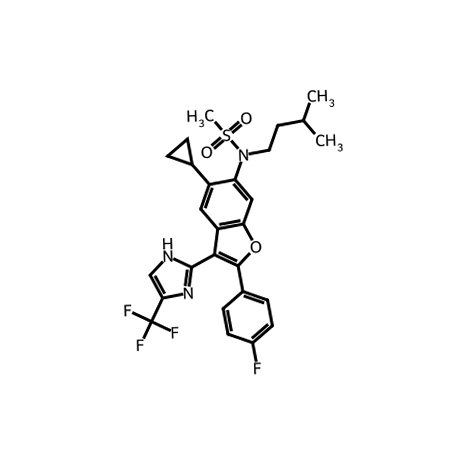 CC(C)CCN(c1cc2oc(-c3ccc(F)cc3)c(-c3nc(C(F)(F)F)c[nH]3)c2cc1C1CC1)S(C)(=O)=O